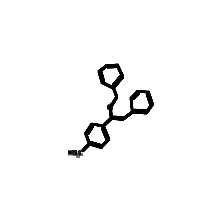 O=C(O)c1ccc(C(=Cc2ccccc2)OCc2ccccc2)cc1